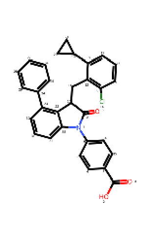 O=C(O)c1ccc(N2C(=O)C(Cc3c(Cl)cccc3C3CC3)c3c(-c4ccccc4)cccc32)cc1